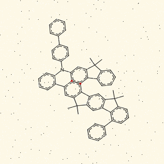 CC1(C)c2ccccc2-c2ccc(N(c3ccc(-c4ccccc4)cc3)c3ccccc3-c3ccc4c(c3)C(C)(C)c3cc5c(cc3-4)C(C)(C)c3cccc(-c4ccccc4)c3-5)cc21